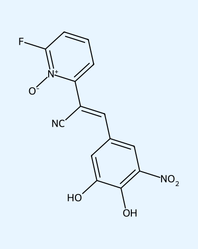 N#C/C(=C\c1cc(O)c(O)c([N+](=O)[O-])c1)c1cccc(F)[n+]1[O-]